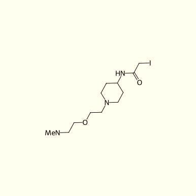 CNCCOCCN1CCC(NC(=O)CI)CC1